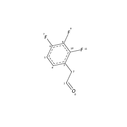 O=CCc1ccc(F)c(F)c1F